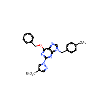 CCOC(=O)c1cnn(-c2nc(OCc3ccccc3)c3ncn(Cc4ccc(OC(C)=O)cc4)c3n2)c1